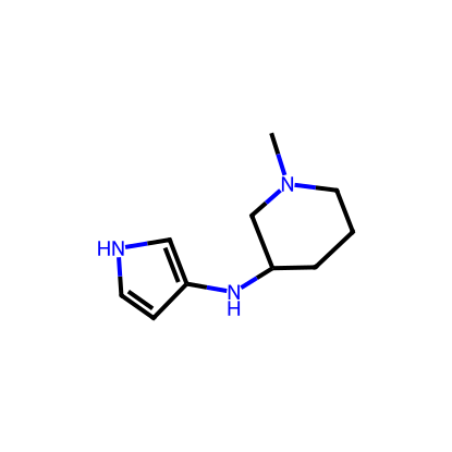 CN1CCCC(Nc2cc[nH]c2)C1